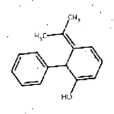 CC(C)=C1C=CC=C(O)C1c1ccccc1